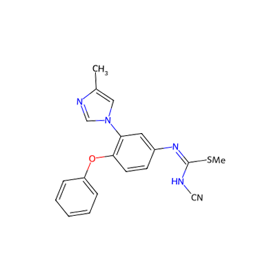 CSC(=Nc1ccc(Oc2ccccc2)c(-n2cnc(C)c2)c1)NC#N